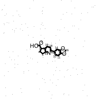 O=C(O)C1CCc2nc(-c3ccc4c(c3)OCO4)ccc21